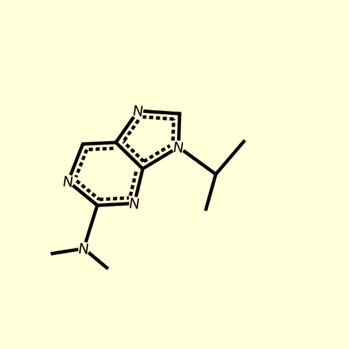 CC(C)n1cnc2cnc(N(C)C)nc21